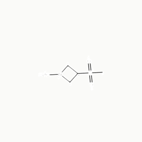 CS(=O)(=O)C1CN(C=O)C1